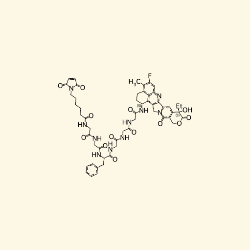 CC[C@@]1(O)C(=O)OCc2c1cc1n(c2=O)Cc2c-1nc1cc(F)c(C)c3c1c2[C@@H](NC(=O)CNC(=O)CNC(=O)CNC(=O)C(Cc1ccccc1)NC(=O)CNC(=O)CNC(=O)CCCCCN1C(=O)C=CC1=O)CC3